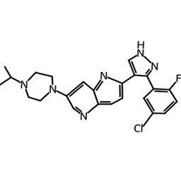 CC(C)N1CCN(c2cnc3ccc(-c4c[nH]nc4-c4cc(Cl)ccc4F)nc3c2)CC1